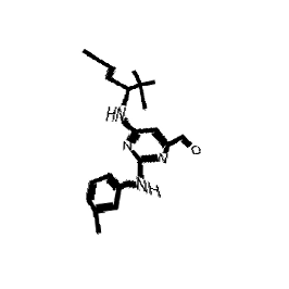 CCCC(Nc1cc(C=O)nc(Nc2cccc(C)c2)n1)C(C)(C)C